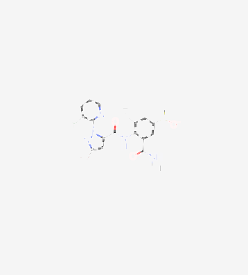 CNC(=O)c1cc([S+](C)[O-])cc(C)c1NC(=O)c1cc(Br)nn1-c1ncccc1Cl